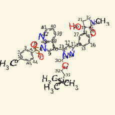 Cc1ccc(S(=O)(=O)n2cc(-c3cc(-c4cccc(C5(O)CCN(C)C5=O)c4)nn3COCC[Si](C)(C)C)c3cccnc32)cc1